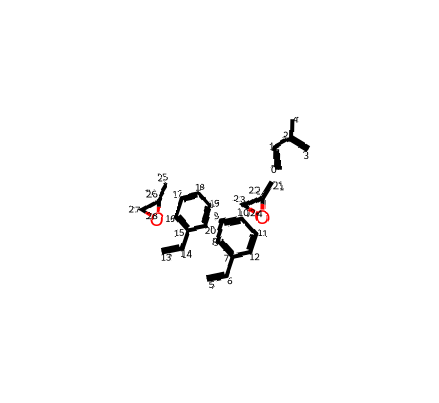 C=CC(=C)C.C=Cc1ccccc1.C=Cc1ccccc1.CC1CO1.CC1CO1